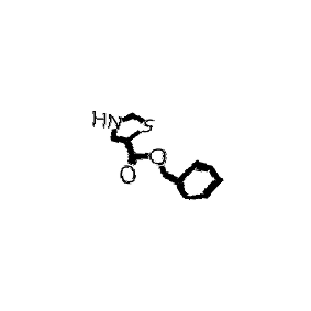 O=C(OCc1ccccc1)C1CNCS1